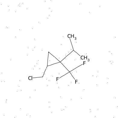 CC(C)C1(C(F)(F)F)CC1CCl